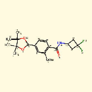 COc1cc(B2OC(C)(C)C(C)(C)O2)ccc1C(=O)NC1CC(F)(F)C1